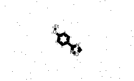 CCOc1ccc(-c2ncon2)cc1